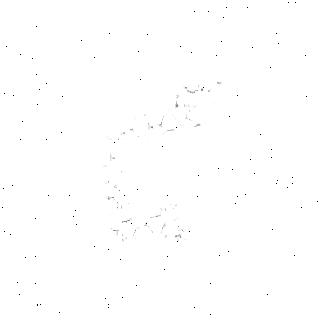 COc1cc(-c2cn(C)c(=O)c3c2CCN(C(=O)NCCCN2CCC(OC4CCN(c5ccc6c(c5)C(=O)N(C5CCC(=O)NC5=O)C6=O)CC4)CC2)C3)cc(OC)c1CN(C)C